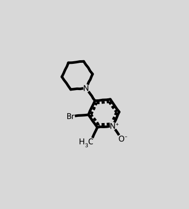 Cc1c(Br)c(N2CCCCC2)cc[n+]1[O-]